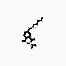 C=Cc1ccc(CNCCCCC)cc1C(=C)N(C)C(C)C